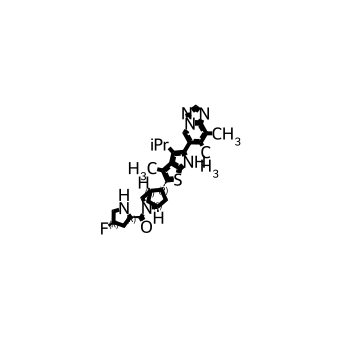 Cc1c(-c2[nH]c3sc([C@@H]4C[C@@H]5C[C@H]4CN5C(=O)[C@H]4C[C@@H](F)CN4)c(C)c3c2C(C)C)cn2ncnc2c1C